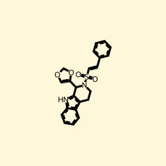 O=S(=O)(C=Cc1ccccc1)N1CCc2c([nH]c3ccccc23)C1C1=COCO1